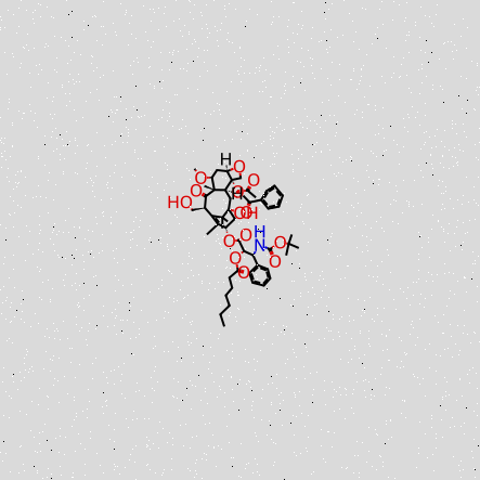 CCCCCCC(=O)O[C@@H](C(=O)O[C@H]1C[C@@]2(O)[C@@H](CC(=O)c3ccccc3)[C@@H]3[C@]4(OC(C)=O)CO[C@@H]4C[C@H](OC)[C@@]3(C)C(=O)[C@H](CO)C(=C1C)C2(C)C)[C@@H](NC(=O)OC(C)(C)C)c1ccccc1